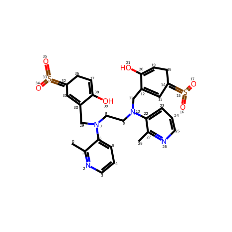 Cc1ncccc1N(CCN(CC1=CC(=S(=O)=O)CC=C1O)c1cccnc1C)CC1=CC(=S(=O)=O)CC=C1O